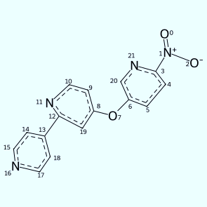 O=[N+]([O-])c1ccc(Oc2ccnc(-c3ccncc3)c2)cn1